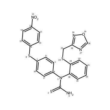 NC(=S)N(c1ccc(Sc2ccc([N+](=O)[O-])cc2)cc1)c1ccccc1SCc1ncon1